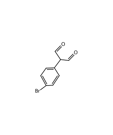 O=CC(C=O)c1ccc(Br)cc1